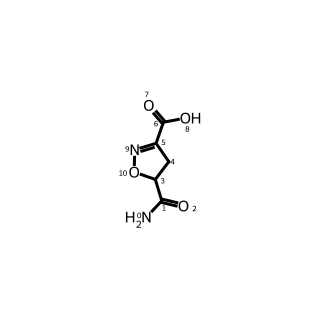 NC(=O)C1CC(C(=O)O)=NO1